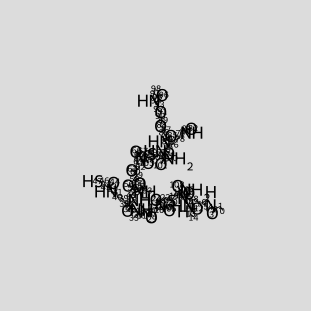 CCC(=O)NCCCCC(NC(=O)CC)C(=O)NC(CSC1CC(=O)N(CCC(=O)NCC(C)NC(=O)C(CCCCNC(=O)CCS)NCC(NC(C)=O)C(=O)CCCC(=O)CCN2C(=O)CC(SCC(NC(=O)C(CCCCNC=O)NC(=O)CCOCCOCCNC(=O)CC)C(N)=O)C2=O)C1=O)C(N)=O